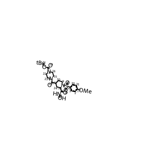 COc1ccc(S(=O)(=O)N2CCC(C(=O)N3CCN(C(=O)OC(C)(C)C)CC3)CC2C(=O)NO)cc1